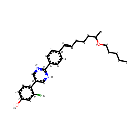 CCCCCOC(C)CCC/C=C/c1ccc(-c2ncc(-c3ccc(O)cc3F)cn2)cc1